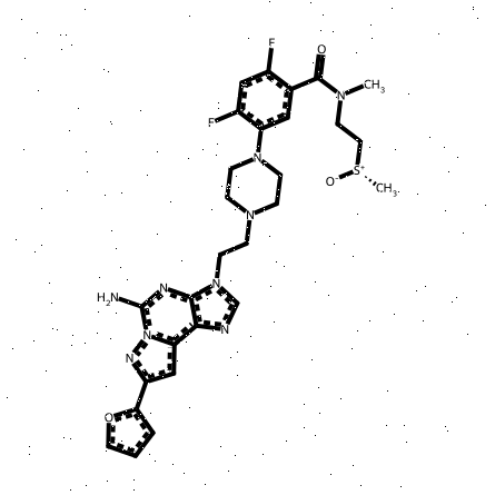 CN(CC[S@+](C)[O-])C(=O)c1cc(N2CCN(CCn3cnc4c3nc(N)n3nc(-c5ccco5)cc43)CC2)c(F)cc1F